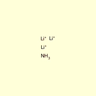 N.[Li+].[Li+].[Li+]